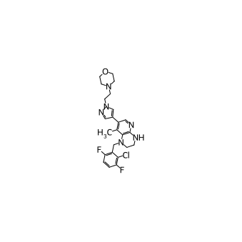 Cc1c(-c2cnn(CCN3CCOCC3)c2)cnc2c1N(Cc1c(F)ccc(F)c1Cl)CCN2